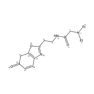 CCN(CC)CC(=O)NCCc1nc2c(o1)CC(=O)C=C2